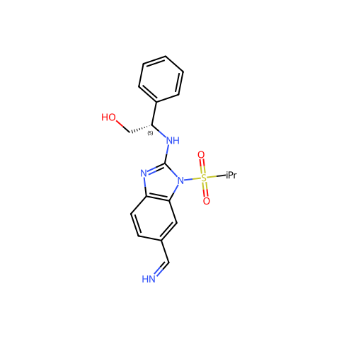 CC(C)S(=O)(=O)n1c(N[C@H](CO)c2ccccc2)nc2ccc(C=N)cc21